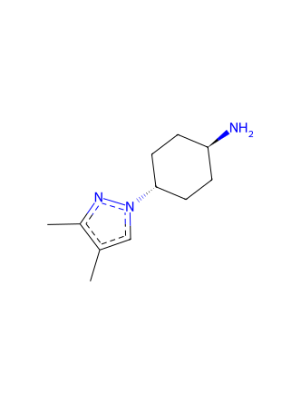 Cc1cn([C@H]2CC[C@H](N)CC2)nc1C